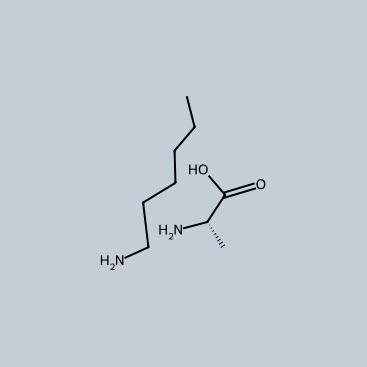 CCCCCCN.C[C@H](N)C(=O)O